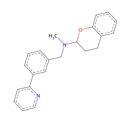 CN(Cc1cccc(-c2ccccn2)c1)C1CCc2ccccc2O1